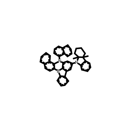 CC12CCCCC1(C)N(c1cc3c4c(c1)N(c1cccc5ccccc15)c1c(ccc5ccccc15)B4c1ccccc1-3)c1ccccc12